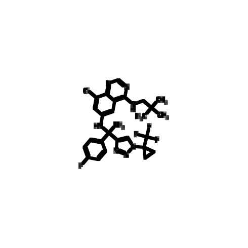 BC(Nc1cc(Cl)c2ncnc(NCC(C)(C)C)c2c1)(c1ccc(F)cc1)c1cn(C2(C(F)(F)F)CC2)nn1